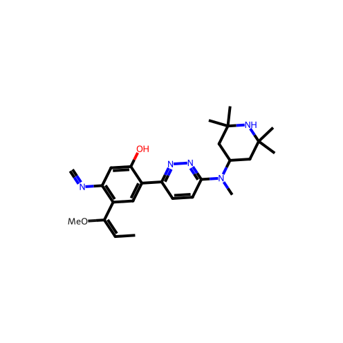 C=Nc1cc(O)c(-c2ccc(N(C)C3CC(C)(C)NC(C)(C)C3)nn2)cc1/C(=C\C)OC